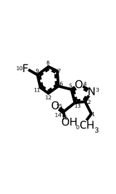 CCc1noc(-c2ccc(F)cc2)c1C(=O)O